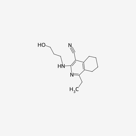 CCc1nc(NCCCO)c(C#N)c2c1CCCC2